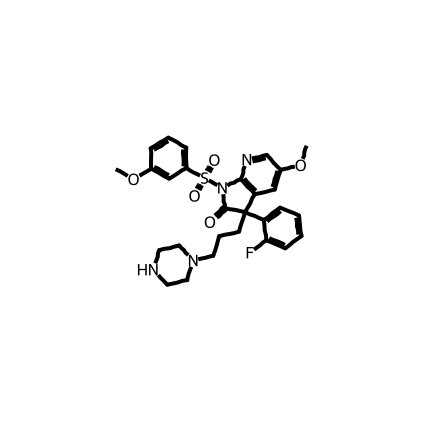 COc1cccc(S(=O)(=O)N2C(=O)C(CCCN3CCNCC3)(c3ccccc3F)c3cc(OC)cnc32)c1